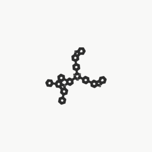 c1ccc(-c2ccc3c(c2)c2cc(-c4ccccc4)ccc2n3-c2ccc(-c3nc(-c4ccc(-c5ccc6sc7ccccc7c6c5)cc4)nc(-c4ccc(-c5ccc6sc7ccccc7c6c5)cc4)n3)cc2-c2ccccc2)cc1